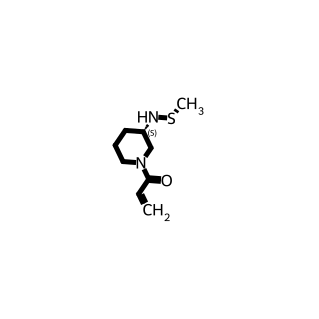 C=CC(=O)N1CCC[C@H](NSC)C1